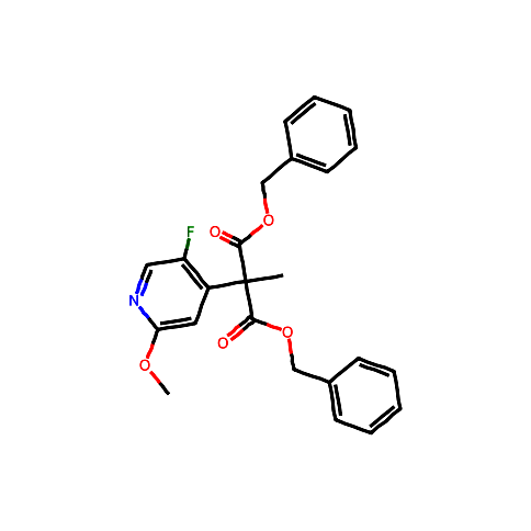 COc1cc(C(C)(C(=O)OCc2ccccc2)C(=O)OCc2ccccc2)c(F)cn1